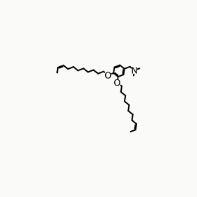 C/C=C\CCCCCCCCOc1ccc(CN(C)C)cc1OCCCCCCCC/C=C\C